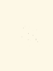 C=C[Si]1(C=C)CO[Si]1(C=C)C=C